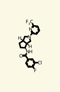 O=C(N[C@H]1CC[C@@H]2CN(c3cccc(C(F)(F)F)n3)C[C@@H]21)c1ccc(F)c(Cl)c1